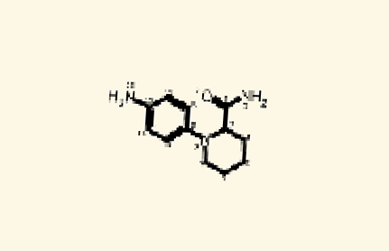 NC(=O)C1CCCCN1c1ccc(N)cc1